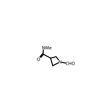 CNC(=O)C1CN(C=O)C1